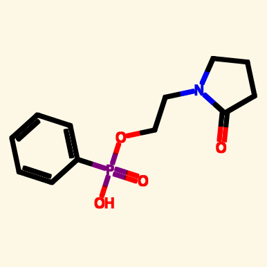 O=C1CCCN1CCOP(=O)(O)c1ccccc1